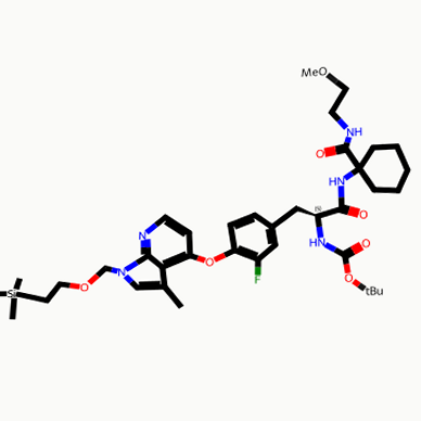 COCCNC(=O)C1(NC(=O)[C@H](Cc2ccc(Oc3ccnc4c3c(C)cn4COCC[Si](C)(C)C)c(F)c2)NC(=O)OC(C)(C)C)CCCCC1